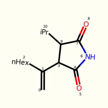 C=C(CCCCCC)C1C(=O)NC(=O)C1C(C)C